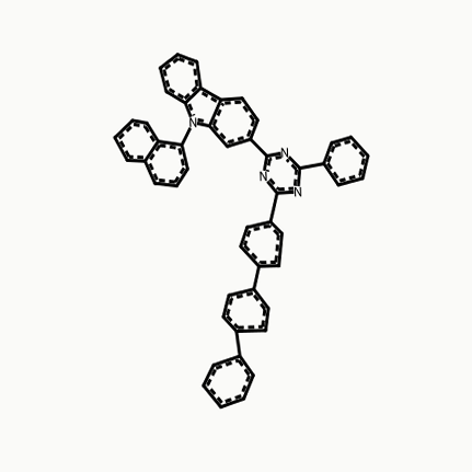 c1ccc(-c2ccc(-c3ccc(-c4nc(-c5ccccc5)nc(-c5ccc6c7ccccc7n(-c7cccc8ccccc78)c6c5)n4)cc3)cc2)cc1